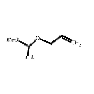 C=C[CH]OC(C)OC